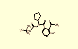 CC(=S)c1c(Cl)cccc1C(=O)N(CC(=O)OC(C)(C)C)C1CCCC1